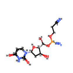 N#CCCOP(N)OC(Br)[C@H]1O[C@@H](n2ccc(=O)[nH]c2=O)C[C@@H]1O